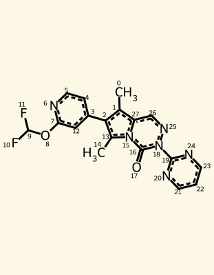 Cc1c(-c2ccnc(OC(F)F)c2)c(C)n2c(=O)n(-c3ncccn3)ncc12